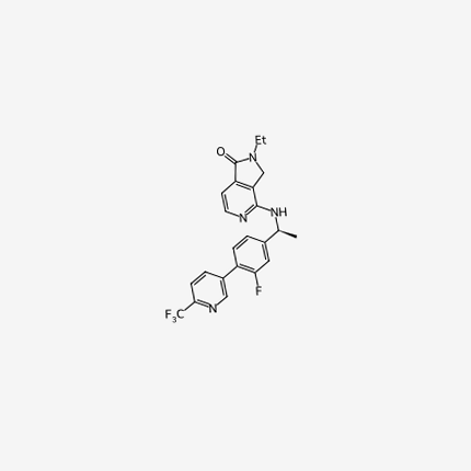 CCN1Cc2c(ccnc2N[C@@H](C)c2ccc(-c3ccc(C(F)(F)F)nc3)c(F)c2)C1=O